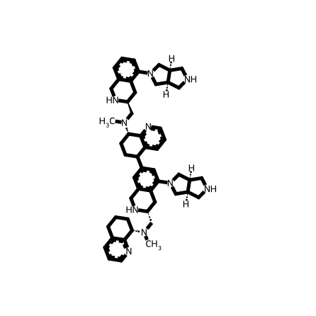 CN(C[C@H]1Cc2c(cc(C3CC[C@H](N(C)C[C@@H]4Cc5c(cccc5N5C[C@H]6CNC[C@H]6C5)CN4)c4ncccc43)cc2N2C[C@H]3CNC[C@H]3C2)CN1)[C@H]1CCCc2cccnc21